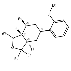 CCOc1ccccc1[C@@H]1C[C@H](CC)[C@@H]2[C@@H](C1)C(CC)(CC)ON2C(C)C